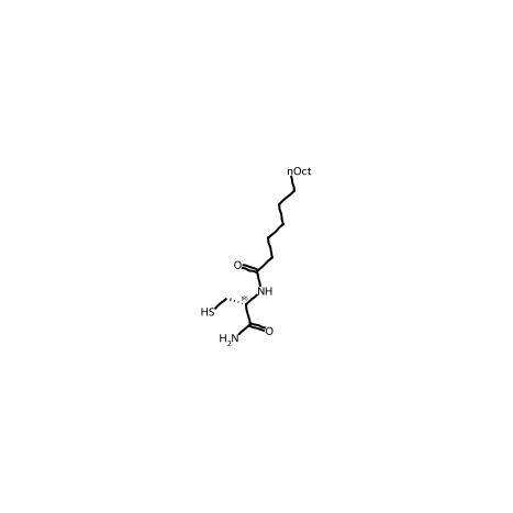 CCCCCCCCCCCCCC(=O)N[C@@H](CS)C(N)=O